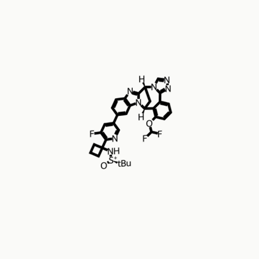 CC(C)(C)[S@@+]([O-])NC1(c2ncc(-c3ccc4nc5n(c4c3)[C@@H]3C[C@H]5n4cnnc4-c4cccc(OC(F)F)c43)cc2F)CCC1